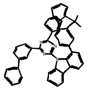 CC1(C)c2ccccc2-c2ccc(-c3cccc4c5ccccc5n(-c5nc(-c6ccccc6)nc(-c6cccc(-c7ccccc7)c6)n5)c34)cc21